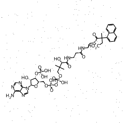 CC(CC(=O)O)(C(=O)SCCNC(=O)CCNC(=O)[C@H](O)C(C)(C)COP(=O)(O)OP(=O)(O)OC[C@H]1O[C@@H](n2cnc3c(N)ncnc32)[C@H](O)[C@@H]1OP(=O)(O)O)c1cccc2ccccc12